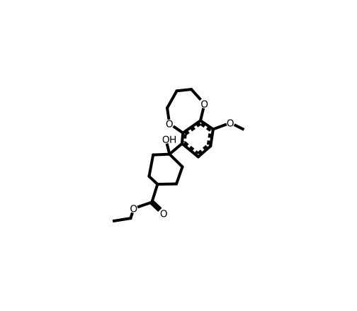 CCOC(=O)C1CCC(O)(c2ccc(OC)c3c2OCCCO3)CC1